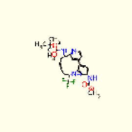 COC(=O)Nc1ccc2c(c1)NC(C(F)(F)F)CC=CCC(NC(=O)OC(C)(C)C)c1cc-2ccn1